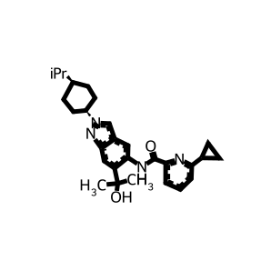 CC(C)[C@H]1CC[C@H](n2cc3cc(NC(=O)c4cccc(C5CC5)n4)c(C(C)(C)O)cc3n2)CC1